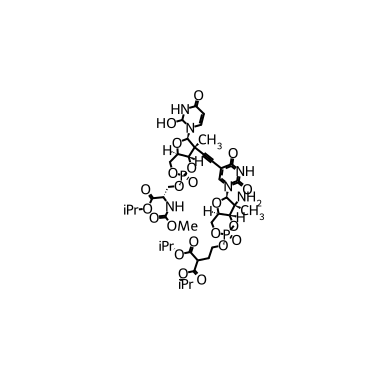 COC(=O)N[C@@H](CO[P@]1(=O)OC[C@H]2O[C@@H](N3C=CC(=O)NC3O)[C@](C)(C#Cc3cn([C@@H]4O[C@@H]5CO[P@@](=O)(OCCC(C(=O)OC(C)C)C(=O)OC(C)C)O[C@H]5[C@@]4(C)N)c(=O)[nH]c3=O)[C@@H]2O1)C(=O)OC(C)C